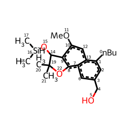 CCCCc1cc(CO)cc2c3c(c(OC)cc12)C(O[SiH](C)C)C(C)(C)O3